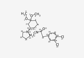 COC1(OC)CC[C@H](N(C)C(=O)Cc2ccc(Cl)c(Cl)c2)[C@@H](N2CCCC2)C1